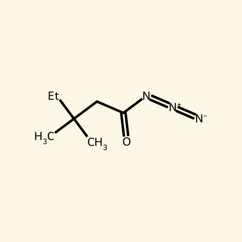 CCC(C)(C)CC(=O)N=[N+]=[N-]